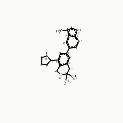 Cc1c[nH]c2ncc(-c3cc4c(c(C5CCCN5)c3)COC(C)(C)C4)cc12